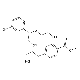 COC(=O)c1ccc(CC(C)NCC(OCCO)c2cccc(Cl)c2)cc1.Cl